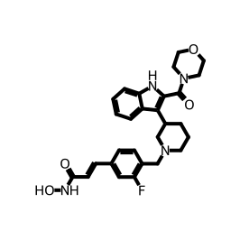 O=C(/C=C/c1ccc(CN2CCCC(c3c(C(=O)N4CCOCC4)[nH]c4ccccc34)C2)c(F)c1)NO